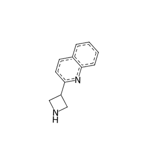 c1ccc2nc(C3CNC3)ccc2c1